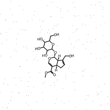 COC(=O)C1=CO[C@@H](OC2OC(CO)C(O)C(O)C2O)[C@@H]2C(CO)=CC[C@H]12